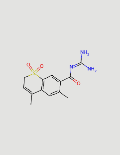 CC1=CCS(=O)(=O)c2cc(C(=O)N=C(N)N)c(C)cc21